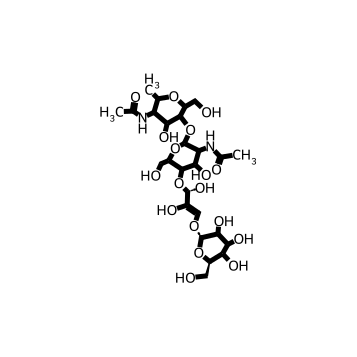 CC(=O)NC1C(C)OC(CO)C(OC2OC(CO)C(O[C@H](O)/C(O)=C/O[C@H]3O[C@H](CO)C(O)C(O)C3O)C(O)C2NC(C)=O)C1O